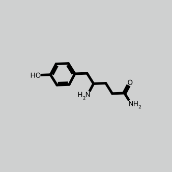 NC(=O)CCC(N)Cc1ccc(O)cc1